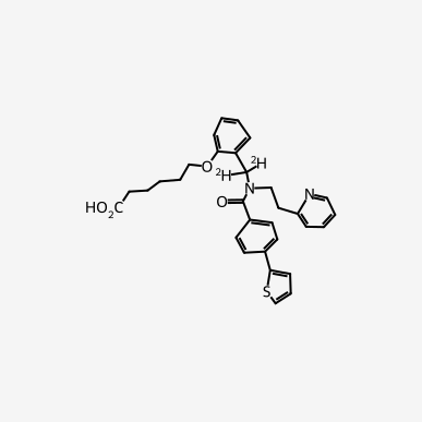 [2H]C([2H])(c1ccccc1OCCCCCC(=O)O)N(CCc1ccccn1)C(=O)c1ccc(-c2cccs2)cc1